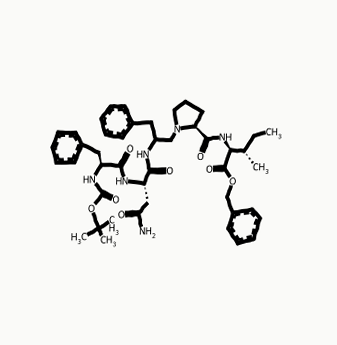 CC[C@H](C)[C@H](NC(=O)[C@@H]1CCCN1CC(Cc1ccccc1)NC(=O)[C@H](CC(N)=O)NC(=O)[C@H](Cc1ccccc1)NC(=O)OC(C)(C)C)C(=O)OCc1ccccc1